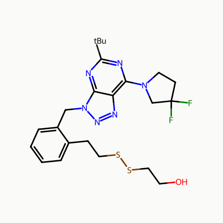 CC(C)(C)c1nc(N2CCC(F)(F)C2)c2nnn(Cc3ccccc3CCSSCCO)c2n1